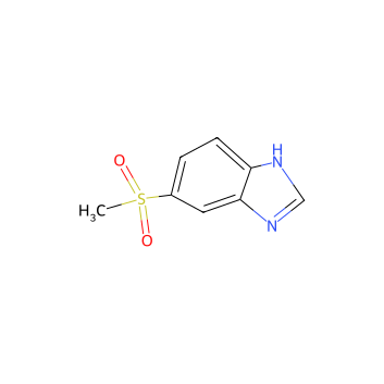 CS(=O)(=O)c1ccc2[nH]cnc2c1